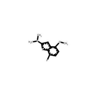 COc1ccc(F)c2sc(N(C)C)cc12